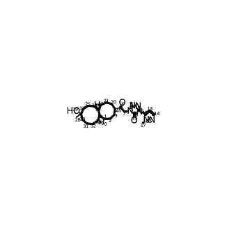 C[C@H]1CC[C@H](C(=O)Cn2nnn(-c3ccnn3C)c2=O)CCC[C@@H]2CCC[C@@](C)(O)CCCC[C@H]21